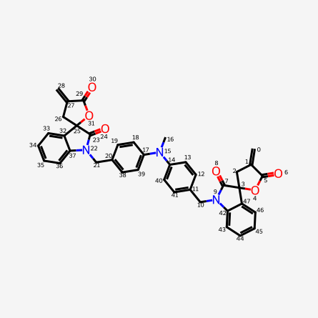 C=C1CC2(OC1=O)C(=O)N(Cc1ccc(N(C)c3ccc(CN4C(=O)C5(CC(=C)C(=O)O5)c5ccccc54)cc3)cc1)c1ccccc12